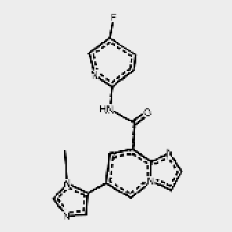 Cn1cncc1-c1cc(C(=O)Nc2ccc(F)cn2)c2nccn2c1